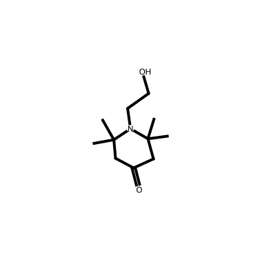 CC1(C)CC(=O)CC(C)(C)N1CCO